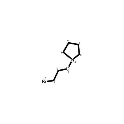 BrCCON1CCCC1